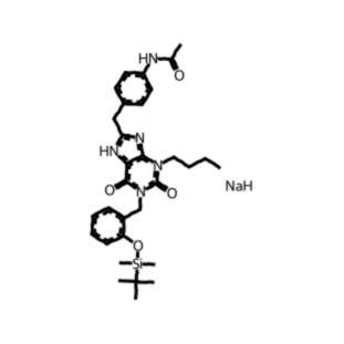 CCCCn1c(=O)n(Cc2ccccc2O[Si](C)(C)C(C)(C)C)c(=O)c2[nH]c(Cc3ccc(NC(C)=O)cc3)nc21.[NaH]